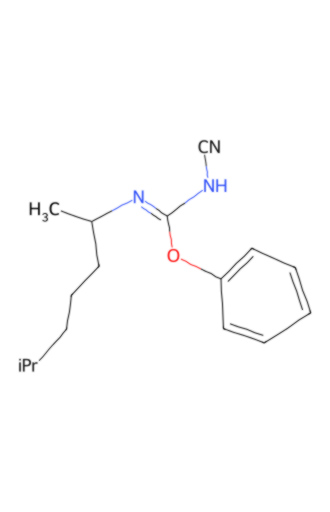 CC(C)CCCC(C)/N=C(/NC#N)Oc1ccccc1